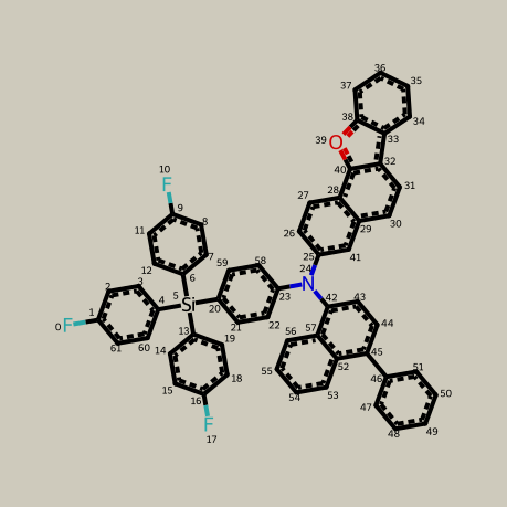 Fc1ccc([Si](c2ccc(F)cc2)(c2ccc(F)cc2)c2ccc(N(c3ccc4c(ccc5c6ccccc6oc45)c3)c3ccc(-c4ccccc4)c4ccccc34)cc2)cc1